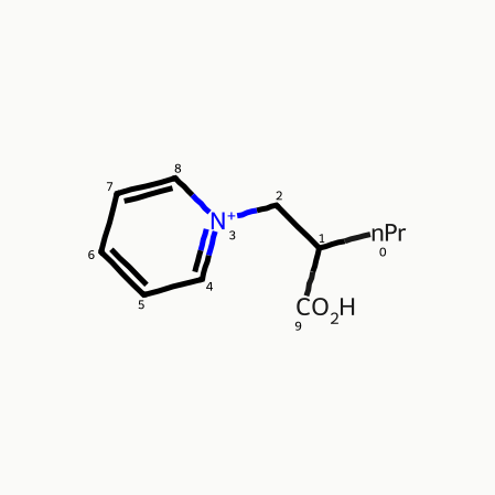 CCCC(C[n+]1ccccc1)C(=O)O